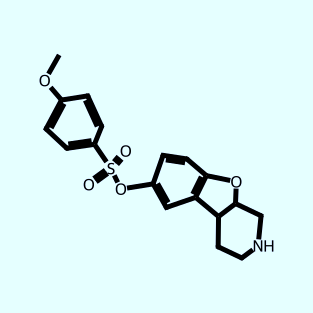 COc1ccc(S(=O)(=O)Oc2ccc3c(c2)C2CCNCC2O3)cc1